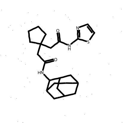 O=C(CC1(CC(=O)NC2C3CC4CC(C3)CC2C4)CCCC1)Nc1nccs1